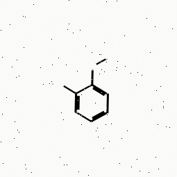 CCOc1ccccc1C=O.[Zn]